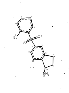 CCc1ccccc1S(=O)(=O)c1ccc2c(c1)CCC2N